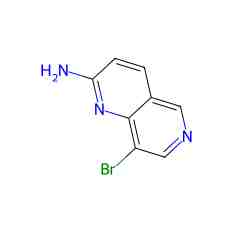 Nc1ccc2cncc(Br)c2n1